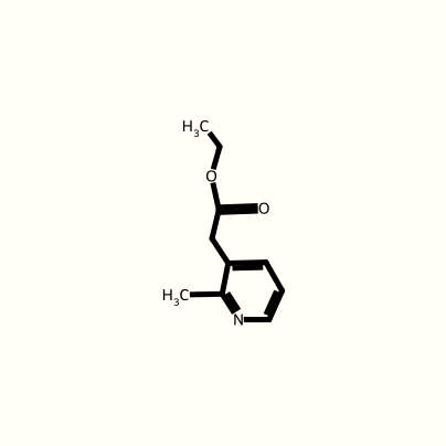 CCOC(=O)Cc1cccnc1C